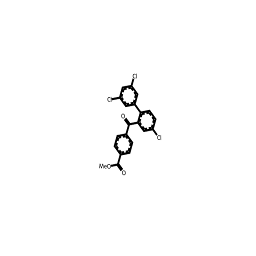 COC(=O)c1ccc(C(=O)c2cc(Cl)ccc2-c2cc(Cl)cc(Cl)c2)cc1